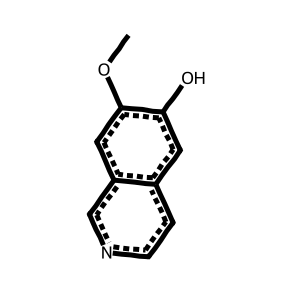 COc1cc2cnccc2cc1O